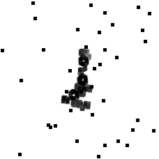 CCc1ccc(S(=O)(=O)Nc2ccc(SCc3ccc(C(F)(F)F)cc3)cc2)cc1C(=O)O